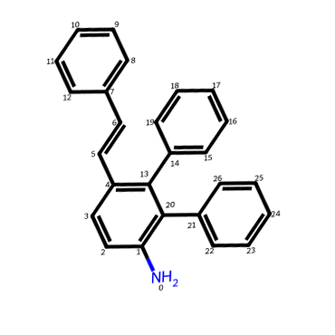 Nc1ccc(C=Cc2ccccc2)c(-c2ccccc2)c1-c1ccccc1